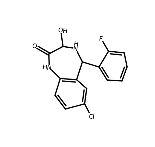 O=C1Nc2ccc(Cl)cc2C(c2ccccc2F)NC1O